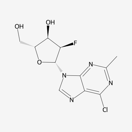 Cc1nc(Cl)c2ncn([C@@H]3O[C@H](CO)[C@@H](O)[C@H]3F)c2n1